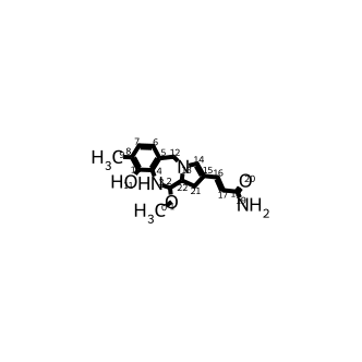 COC1Nc2c(ccc(C)c2O)CN2C=C(C=CC(N)=O)CC12